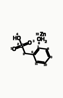 O.O=S(=O)(O)Cc1ccccc1.[Zn]